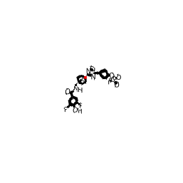 O=C(NC[C@]12CC[C@](c3noc(-c4ccc(OS(=O)(=O)F)cc4)n3)(CC1)CC2)c1cc(F)c(O)c(F)c1